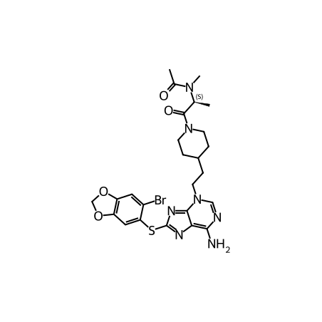 CC(=O)N(C)[C@@H](C)C(=O)N1CCC(CCn2cnc(N)c3nc(Sc4cc5c(cc4Br)OCO5)nc2-3)CC1